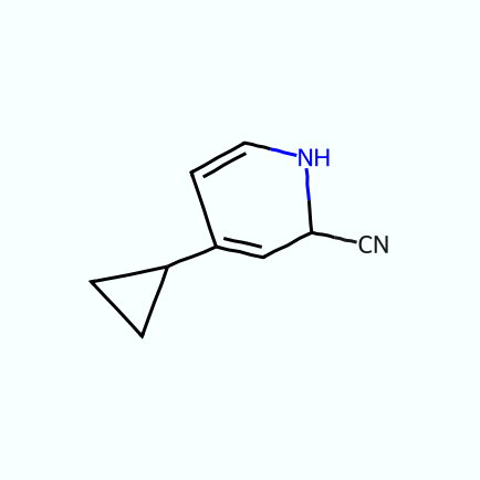 N#CC1C=C(C2CC2)C=CN1